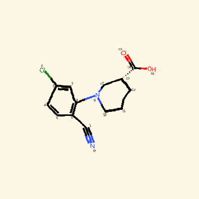 N#Cc1ccc(Cl)cc1N1CCC[C@@H](C(=O)O)C1